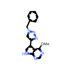 COc1ncnc2[nH]cc(-c3cn(Cc4ccccc4)nn3)c12